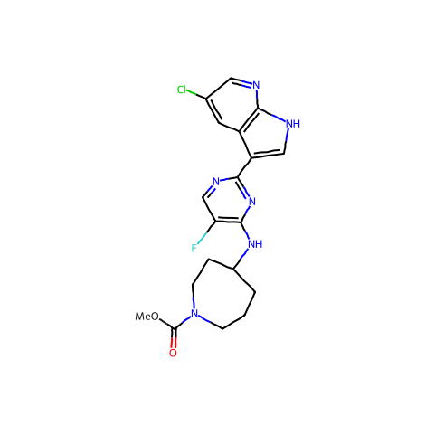 COC(=O)N1CCCC(Nc2nc(-c3c[nH]c4ncc(Cl)cc34)ncc2F)CC1